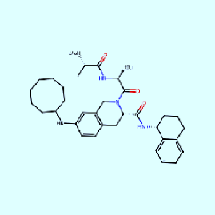 CN[C@@H](C)C(=O)N[C@H](C(=O)N1Cc2cc(BC3CCCCCCC3)ccc2C[C@H]1C(=O)N[C@@H]1CCCc2ccccc21)C(C)(C)C